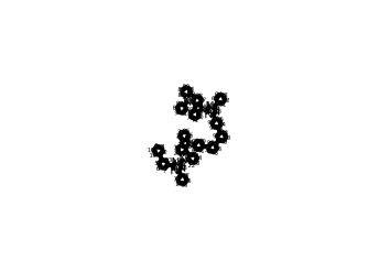 c1ccc(-c2cccc(-c3nc(-c4ccccc4)nc(-n4c5ccccc5c5c4ccc4c6ccccc6n(-c6ccc(-c7cccc(-c8cccc(-c9ccc(-c%10nc(-c%11ccccc%11)nc(-n%11c%12ccccc%12c%12c%11ccc%11c%13ccccc%13n(-c%13ccccc%13)c%11%12)n%10)cc9)c8)c7)cc6)c45)n3)c2)cc1